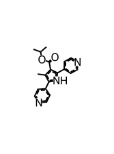 Cc1c(-c2ccncc2)[nH]c(-c2ccncc2)c1C(=O)OC(C)C